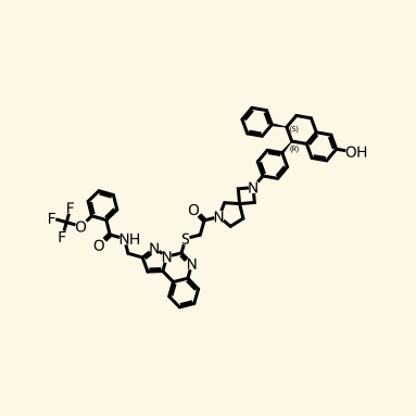 O=C(NCc1cc2c3ccccc3nc(SCC(=O)N3CCC4(C3)CN(c3ccc([C@@H]5c6ccc(O)cc6CC[C@@H]5c5ccccc5)cc3)C4)n2n1)c1ccccc1OC(F)(F)F